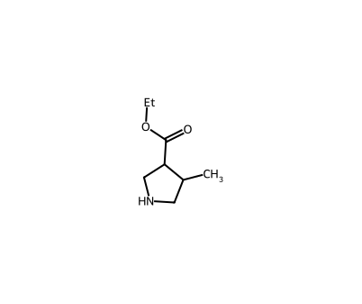 CCOC(=O)C1CNCC1C